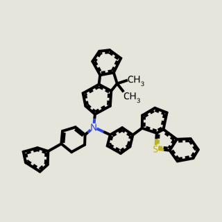 CC1(C)c2ccccc2-c2ccc(N(C3=CC=C(c4ccccc4)CC3)c3cccc(-c4cccc5c4sc4ccccc45)c3)cc21